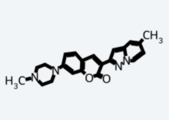 Cc1ccn2nc(-c3cc4ccc(N5CCN(C)CC5)cc4oc3=O)cc2c1